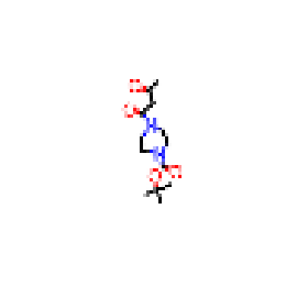 CC(=O)CC(=O)N1CCN(C(=O)OC(C)(C)C)CC1